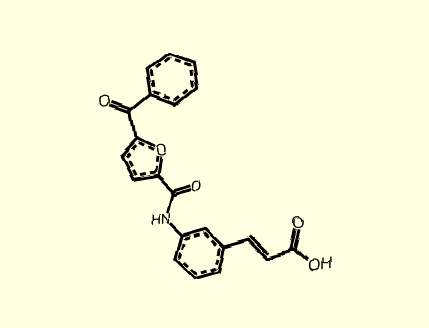 O=C(O)/C=C/c1cccc(NC(=O)c2ccc(C(=O)c3ccccc3)o2)c1